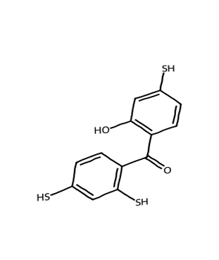 O=C(c1ccc(S)cc1O)c1ccc(S)cc1S